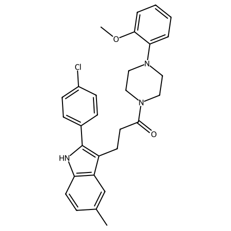 COc1ccccc1N1CCN(C(=O)CCc2c(-c3ccc(Cl)cc3)[nH]c3ccc(C)cc23)CC1